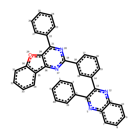 c1ccc(-c2nc3ccccc3nc2-c2cccc(-c3nc(-c4ccccc4)c4oc5ccccc5c4n3)c2)cc1